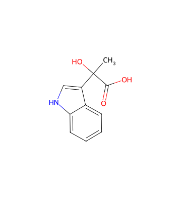 CC(O)(C(=O)O)c1c[nH]c2ccccc12